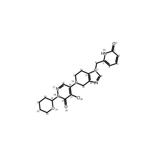 O=c1cccc(Cn2cnc3c2CCN(c2cnn(C4CCCCO4)c(=O)c2Cl)C3)[nH]1